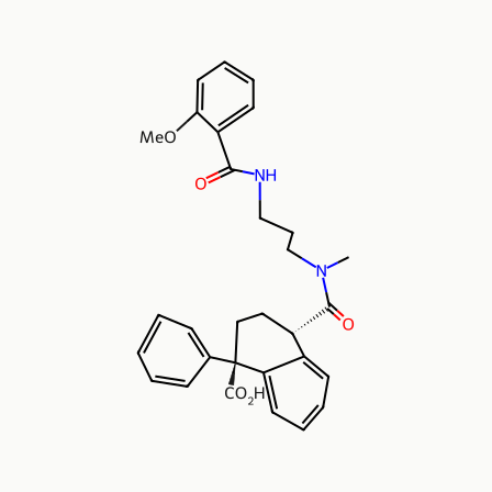 COc1ccccc1C(=O)NCCCN(C)C(=O)[C@H]1CC[C@@](C(=O)O)(c2ccccc2)c2ccccc21